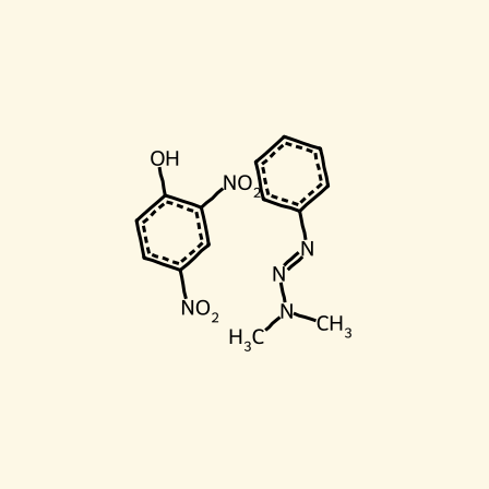 CN(C)/N=N/c1ccccc1.O=[N+]([O-])c1ccc(O)c([N+](=O)[O-])c1